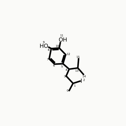 CC(I)CC(c1ccc(O)c(O)c1)C(C)C